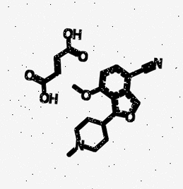 COc1ccc(C#N)c2coc(C3CCN(C)CC3)c12.O=C(O)C=CC(=O)O